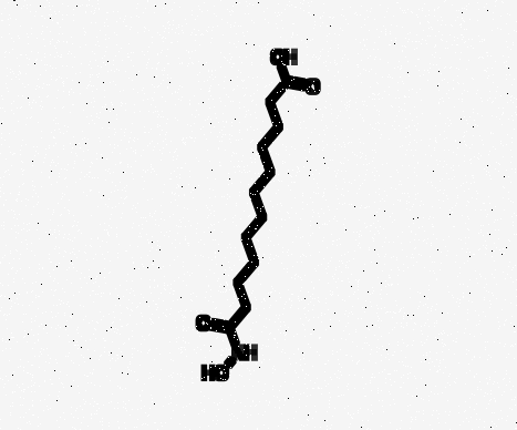 O=C(O)CCCCCCCCCCC(=O)NO